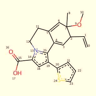 C=CC1C=C2C(=CC1(C)OC)CCn1c(C(=O)O)cc(-c3cccs3)c12